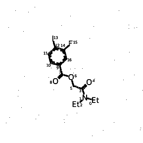 CCN(CC)C(=O)COC(=O)c1ccc(I)c(F)c1